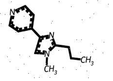 CCCc1nc(-c2ccncc2)cn1C